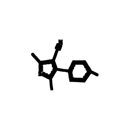 Cc1ccc(-c2c(C)sc(C)c2C#N)cc1